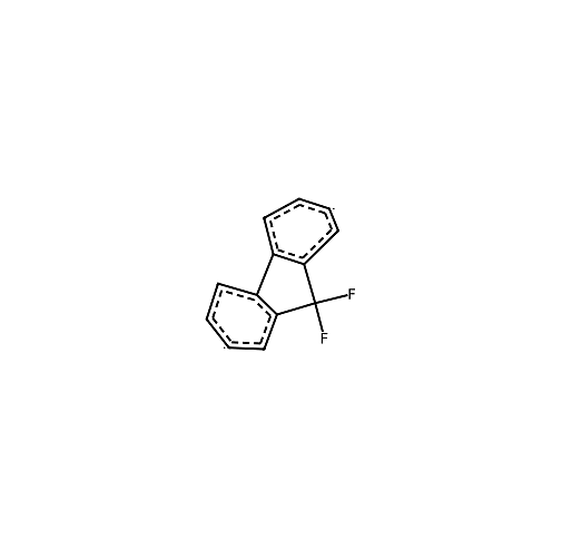 FC1(F)c2c[c]ccc2-c2cc[c]cc21